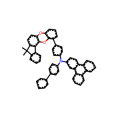 CC1(C)c2ccccc2-c2c1ccc1c2Oc2c(cccc2-c2ccc(N(c3ccc(-c4ccccc4)cc3)c3ccc4c5ccccc5c5ccccc5c4c3)cc2)O1